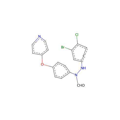 O=CN(Nc1ccc(Cl)c(Br)c1)c1ccc(Oc2ccncc2)cc1